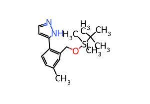 Cc1ccc(-c2ccn[nH]2)c(CO[Si](C)(C)C(C)(C)C)c1